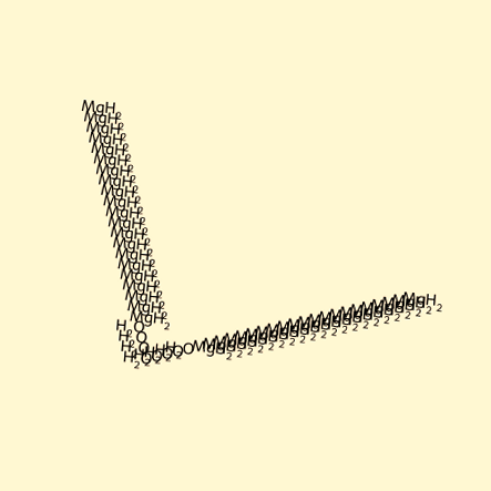 O.O.O.O.O.O.O.O.[MgH2].[MgH2].[MgH2].[MgH2].[MgH2].[MgH2].[MgH2].[MgH2].[MgH2].[MgH2].[MgH2].[MgH2].[MgH2].[MgH2].[MgH2].[MgH2].[MgH2].[MgH2].[MgH2].[MgH2].[MgH2].[MgH2].[MgH2].[MgH2].[MgH2].[MgH2].[MgH2].[MgH2].[MgH2].[MgH2].[MgH2].[MgH2].[MgH2].[MgH2].[MgH2].[MgH2].[MgH2].[MgH2].[MgH2].[MgH2].[MgH2].[MgH2]